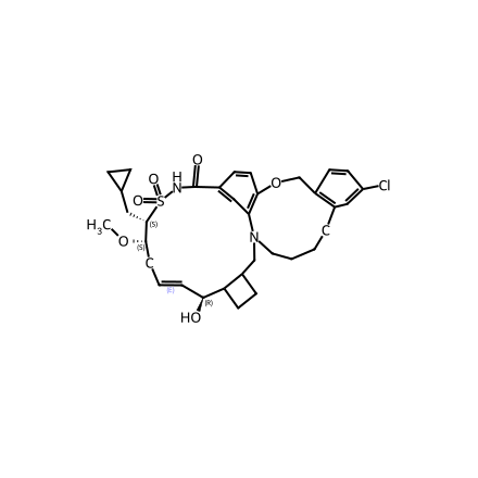 CO[C@H]1C/C=C/[C@H](O)C2CCC2CN2CCCCc3cc(Cl)ccc3COc3ccc(cc32)C(=O)NS(=O)(=O)[C@H]1CC1CC1